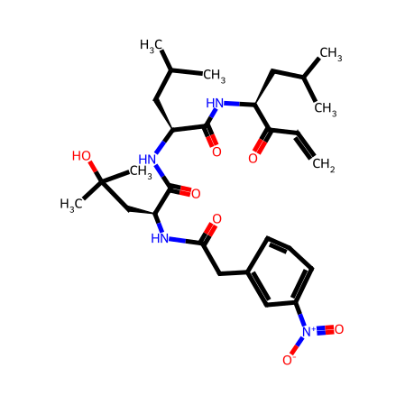 C=[C]C(=O)[C@H](CC(C)C)NC(=O)[C@H](CC(C)C)NC(=O)[C@H](CC(C)(C)O)NC(=O)Cc1cccc([N+](=O)[O-])c1